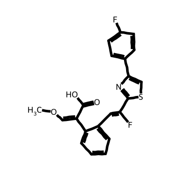 COC=C(C(=O)O)c1ccccc1C=C(F)c1nc(-c2ccc(F)cc2)cs1